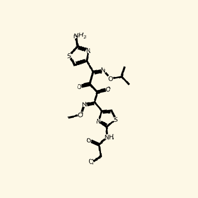 CON=C(C(=O)C(=O)C(=NOC(C)C)c1csc(N)n1)c1csc(NC(=O)CCl)n1